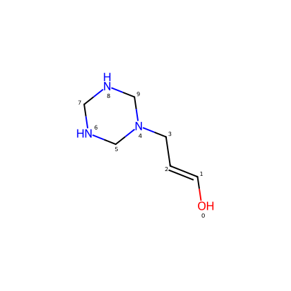 OC=CCN1CNCNC1